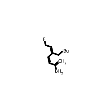 BC(=C)/C=C\C(=C/CF)CC(C)CC